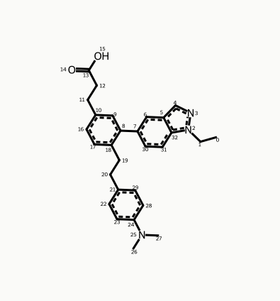 CCn1ncc2cc(-c3cc(CCC(=O)O)ccc3CCc3ccc(N(C)C)cc3)ccc21